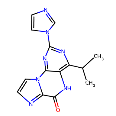 CC(C)c1nc(-n2ccnc2)nc2c1[nH]c(=O)c1nccn12